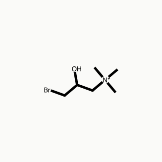 C[N+](C)(C)CC(O)CBr